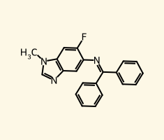 Cn1cnc2cc(N=C(c3ccccc3)c3ccccc3)c(F)cc21